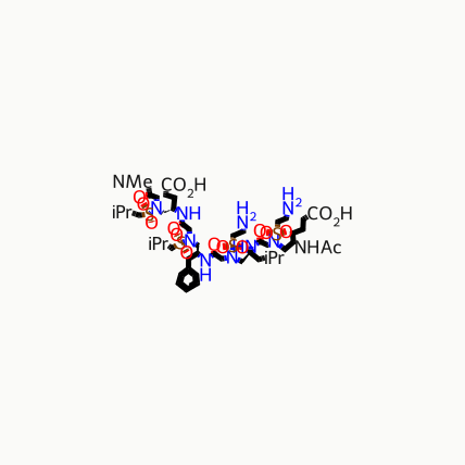 CNC(=O)CN(C[C@H](CCC(=O)O)NC(=O)CN(C[C@H](Cc1ccccc1)NC(=O)CN(C[C@H](CC(C)C)NC(=O)CN(C[C@H](CCCC(=O)O)NC(C)=O)S(=O)(=O)CCN)S(=O)(=O)CCN)S(=O)(=O)CC(C)C)S(=O)(=O)CC(C)C